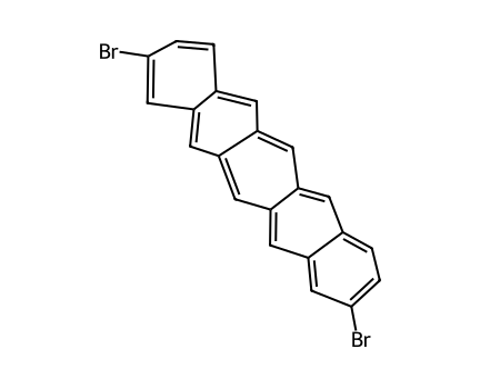 Brc1ccc2cc3cc4cc5ccc(Br)cc5cc4cc3cc2c1